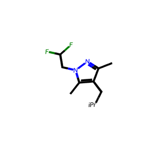 Cc1nn(CC(F)F)c(C)c1CC(C)C